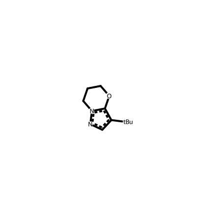 CC(C)(C)c1cnn2c1OCCC2